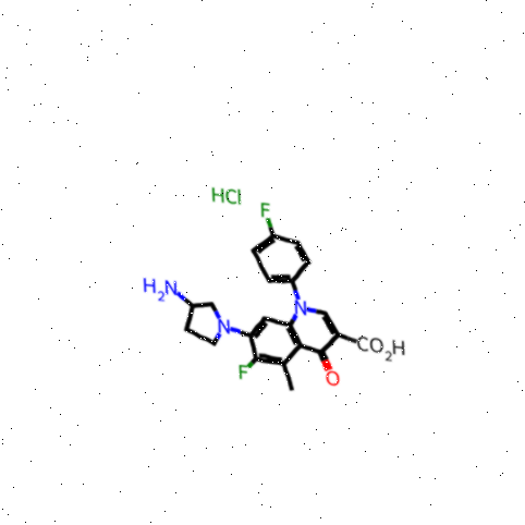 Cc1c(F)c(N2CCC(N)C2)cc2c1c(=O)c(C(=O)O)cn2-c1ccc(F)cc1.Cl